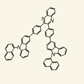 c1ccc2c(-n3c4ccccc4c4cc(-c5ccc(-c6nc7ccccc7nc6-c6ccc(-c7ccc8c(c7)c7ccccc7n8-c7cccc8ccccc78)cc6)cc5)ccc43)cccc2c1